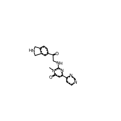 Cn1c(NCC(=O)c2ccc3c(c2)CNC3)nc(-c2ccncn2)cc1=O